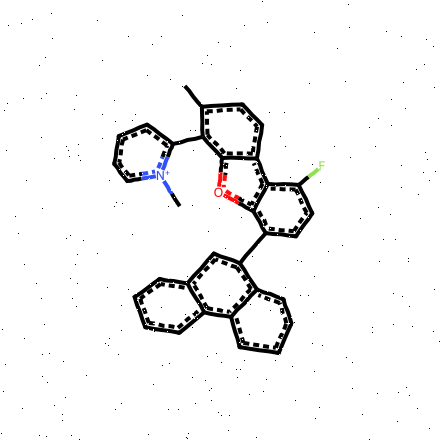 Cc1ccc2c(oc3c(-c4cc5ccccc5c5ccccc45)ccc(F)c32)c1-c1cccc[n+]1C